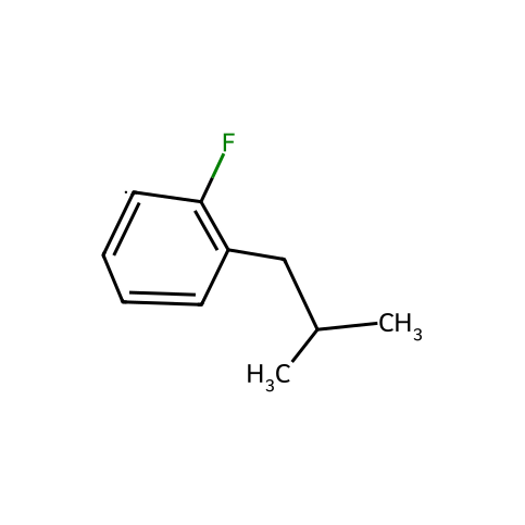 CC(C)Cc1ccc[c]c1F